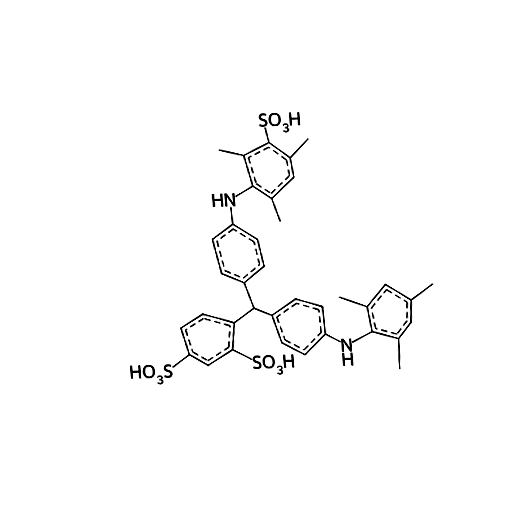 Cc1cc(C)c(Nc2ccc(C(c3ccc(Nc4c(C)cc(C)c(S(=O)(=O)O)c4C)cc3)c3ccc(S(=O)(=O)O)cc3S(=O)(=O)O)cc2)c(C)c1